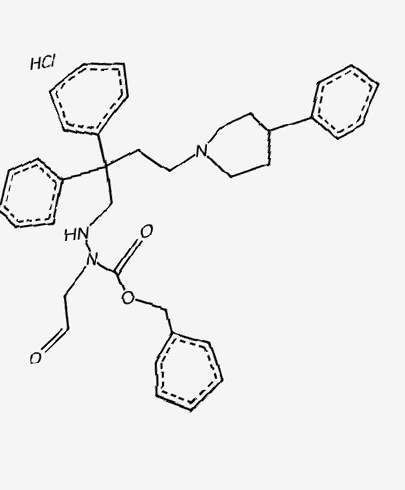 Cl.O=CCN(NCC(CCN1CCC(c2ccccc2)CC1)(c1ccccc1)c1ccccc1)C(=O)OCc1ccccc1